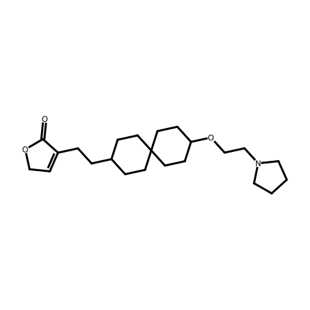 O=C1OCC=C1CCC1CCC2(CC1)CCC(OCCN1CCCC1)CC2